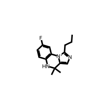 CCCC1=NC=C2[N+]1c1cc(F)ccc1NC2(C)C